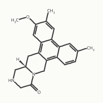 COc1cc2c3c(c4ccc(C)cc4c2cc1C)CN1C(=O)CNC[C@@H]1C3